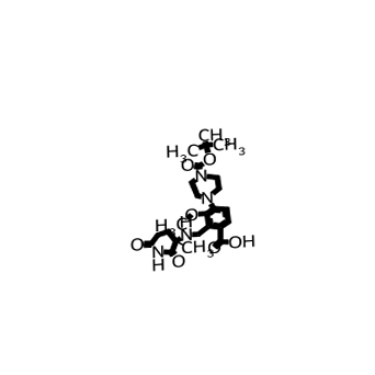 COc1c(N2CCN(C(=O)OC(C)(C)C)CC2)ccc(C(=O)O)c1CN[C@]1(C)CCC(=O)NC1=O